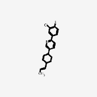 C/C=C/C1CCC(c2ccc(-c3ccc(F)c(Cl)c3)nc2)CC1